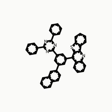 c1ccc(-c2nc(-c3ccccc3)nc(-c3cc(-c4ccc5ccccc5c4)cc(-c4c5ccccc5nc5c4sc4ccccc45)c3)n2)cc1